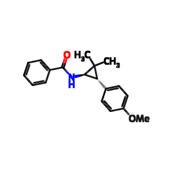 COc1ccc([C@@H]2[C@@H](NC(=O)c3ccccc3)C2(C)C)cc1